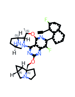 C#Cc1c(F)ccc2cccc(-c3nc4c5c(nc(OC[C@@]67CCCN6C[C@@H]6C[C@@H]67)nc5c3F)N3C[C@H]5CC[C@H](N5)[C@H]3[C@H](C)O4)c12